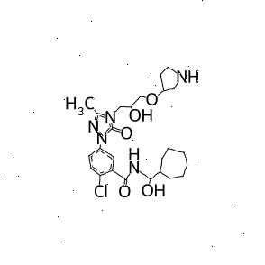 Cc1nn(-c2ccc(Cl)c(C(=O)NC(O)C3CCCCCC3)c2)c(=O)n1CC(O)COC1CCNC1